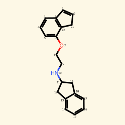 C1=Cc2cccc(OCCNC3Cc4ccccc4C3)c2C1